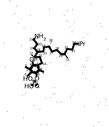 Cc1c(C)c2c(c(C)c1OP(=O)(O)O)CC[C@@](C)(C(CCCN)CC[C@H](C)CCC[C@H](C)CCCC(C)C)O2